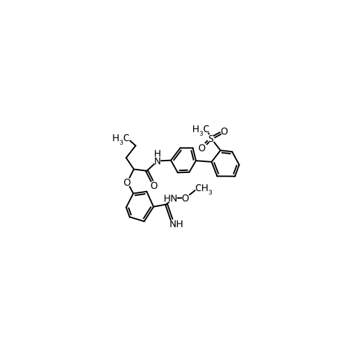 CCCC(Oc1cccc(C(=N)NOC)c1)C(=O)Nc1ccc(-c2ccccc2S(C)(=O)=O)cc1